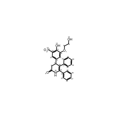 O=C1CC(c2cc(OCCO)c(O)c([N+](=O)[O-])c2)C(c2ccccc2)=C(c2ccccc2)N1